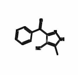 Cc1[nH]nc(C(=O)c2ccccc2)c1C#N